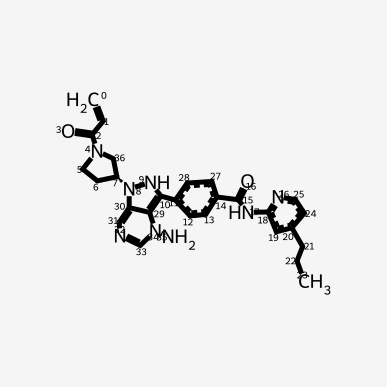 C=CC(=O)N1CC[C@@H](N2NC(c3ccc(C(=O)Nc4cc(CCC)ccn4)cc3)=C3C2=CN=CN3N)C1